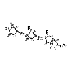 CCCC1CCc2c(cc(F)c(C#Cc3cc(F)c(C#Cc4cc(F)c(F)c(F)c4)c(F)c3)c2F)C1